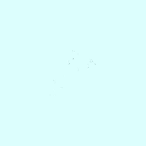 Cn1cnnc1CC1(c2cccc(N3Cc4c(cc(CN5CCC(F)(F)[C@]6(CCOC6)C5)cc4C(F)(F)F)C3=O)c2)COC1